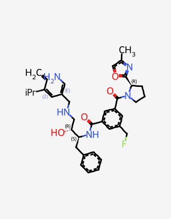 C=C/C(=C\C(=C/N)CNC[C@@H](O)[C@H](Cc1ccccc1)NC(=O)c1cc(CF)cc(C(=O)N2CCC[C@@H]2c2nc(C)co2)c1)C(C)C